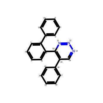 c1ccc(-c2ccccc2-c2nnncc2-c2ccccc2)cc1